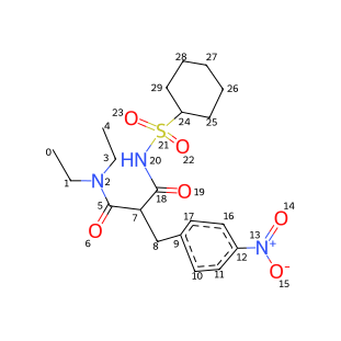 CCN(CC)C(=O)C(Cc1ccc([N+](=O)[O-])cc1)C(=O)NS(=O)(=O)C1CCCCC1